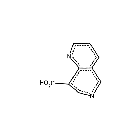 O=C(O)c1cncc2cccnc12